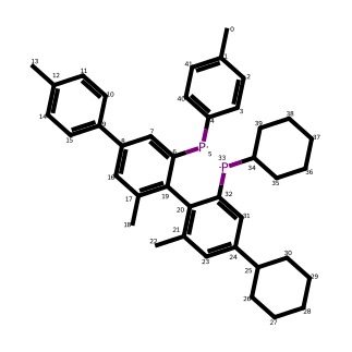 Cc1ccc([P]c2cc(-c3ccc(C)cc3)cc(C)c2-c2c(C)cc(C3CCCCC3)cc2[P]C2CCCCC2)cc1